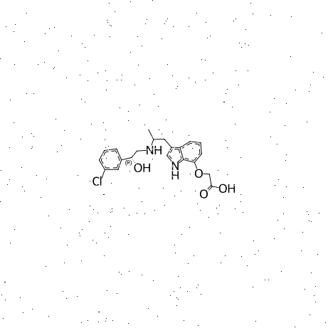 CC(Cc1c[nH]c2c(OCC(=O)O)cccc12)NC[C@H](O)c1cccc(Cl)c1